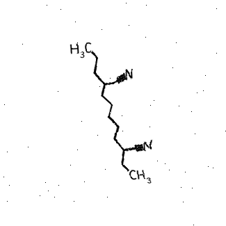 CCCC(C#N)CCCCCC(C#N)CC